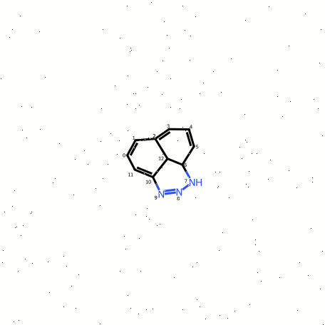 C1=CC2=CC=CC3NN=NC(=C1)C23